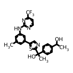 Cc1cc(Nc2nccc(C(F)(F)F)n2)cc(-c2cnc(C(C)(O)c3ccc(C(C)O)cc3)s2)c1